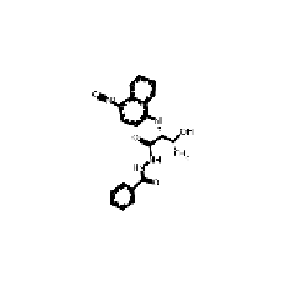 [C-]#[N+]c1ccc(N[C@@H](C(=O)NNC(=O)c2ccccc2)[C@@H](C)O)c2ccccc12